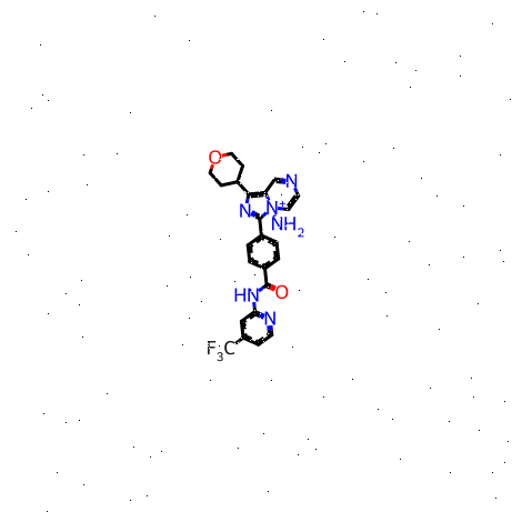 N[N+]12C=CN=CC1=C(C1CCOCC1)N=C2c1ccc(C(=O)Nc2cc(C(F)(F)F)ccn2)cc1